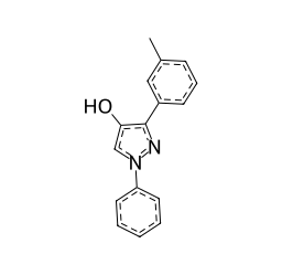 Cc1cccc(-c2nn(-c3ccccc3)cc2O)c1